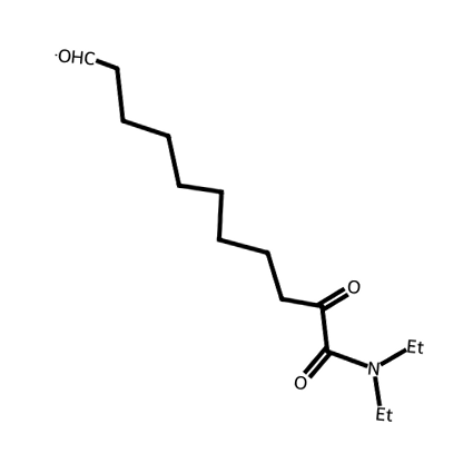 CCN(CC)C(=O)C(=O)CCCCCCCC[C]=O